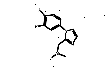 CN(C)Cc1nccn1-c1ccc(I)c(F)c1